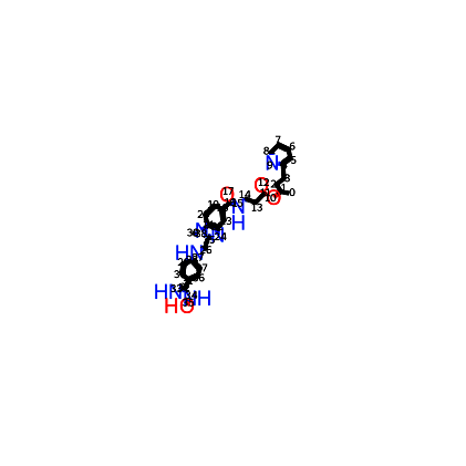 CC(CCc1ccccn1)OC(=O)CCNC(=O)c1ccc2c(c1)nc(CNc1ccc(C(=N)NO)cc1)n2C